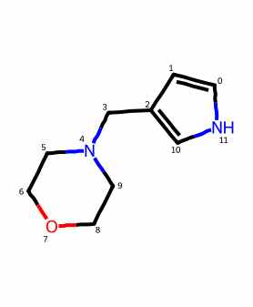 c1cc(CN2CCOCC2)c[nH]1